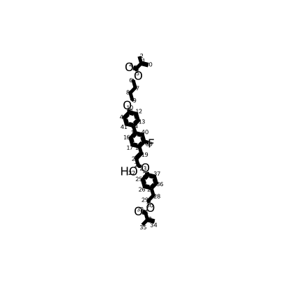 C=C(C)C(=O)OCCCCOc1ccc(-c2ccc(/C=C/C(O)Oc3ccc(CCOC(=O)C(=C)C)cc3)c(F)c2)cc1